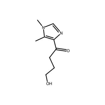 Cc1c(C(=O)CCCO)ncn1C